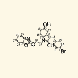 Cc1c(Cc2ccc(Br)cc2)c2cc(O)ccc2n1CCOc1nc2ccccc2o1